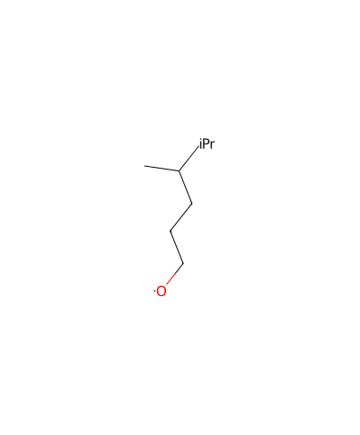 CC(C)C(C)CCC[O]